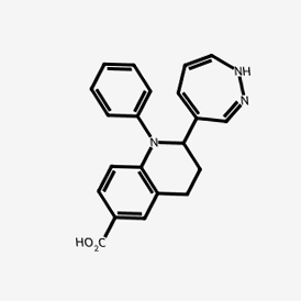 O=C(O)c1ccc2c(c1)CCC(C1=CC=CNN=C1)N2c1ccccc1